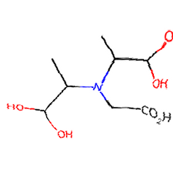 CC(C(O)O)N(CC(=O)O)C(C)C(O)O